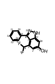 Oc1cc(C(F)F)c2c(-c3ccccc3)n[nH]c2c1